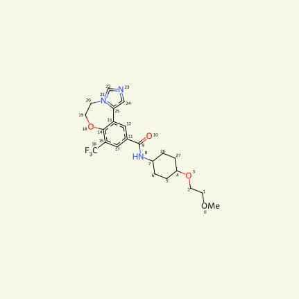 COCCOC1CCC(NC(=O)c2cc3c(c(C(F)(F)F)c2)OCCn2cncc2-3)CC1